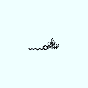 CCCCCCCCc1ccc(CCC(CC)(NC(C)=O)C(=O)OCC)cc1